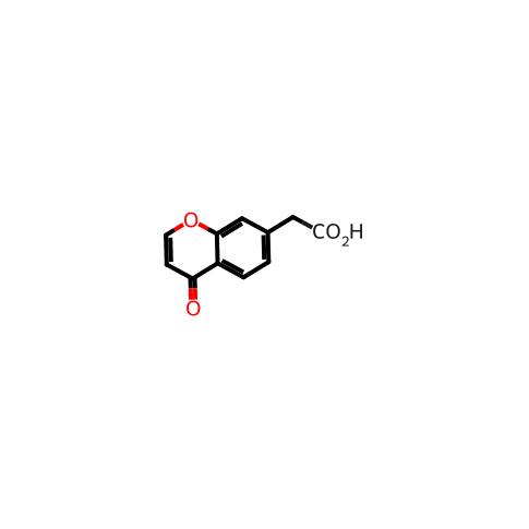 O=C(O)Cc1ccc2c(=O)ccoc2c1